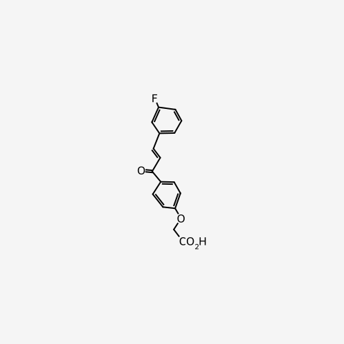 O=C(O)COc1ccc(C(=O)/C=C/c2cccc(F)c2)cc1